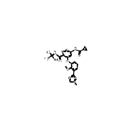 BC(B)(B)NC(=O)c1nnc(NC(=O)C2CC2)cc1Nc1cccc(-c2ncn(C)n2)c1OC